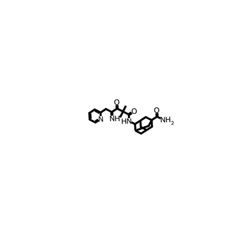 CC(C)(C(=O)NC1C2CC3CC1CC(C(N)=O)(C3)C2)C(=O)C(=N)Cc1ccccn1